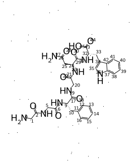 NCC(=O)NCC(=O)N[C@@H](Cc1ccccc1)C(=O)NCC(=O)N[C@@H](CC(N)=O)C(=O)N[C@@H](Cc1c[nH]c2ccccc12)C(=O)O